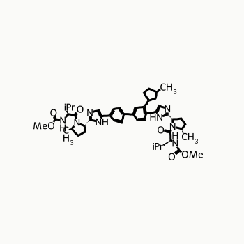 COC(=O)N[C@H](C(=O)N1[C@@H](C)CC[C@H]1c1ncc(-c2ccc(-c3ccc(-c4cnc([C@@H]5CC[C@H](C)N5C(=O)[C@@H](NC(=O)OC)C(C)C)[nH]4)c(C4CCC(C)C4)c3)cc2)[nH]1)C(C)C